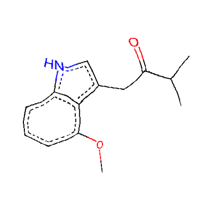 COc1cccc2[nH]cc(CC(=O)C(C)C)c12